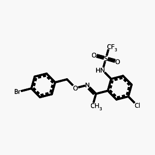 C/C(=N\OCc1ccc(Br)cc1)c1cc(Cl)ccc1NS(=O)(=O)C(F)(F)F